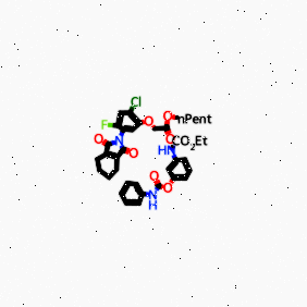 CCCCCOC(=O)COc1cc(N2C(=O)C3=C(CCCC3)C2=O)c(F)cc1Cl.CCOC(=O)Nc1cccc(OC(=O)Nc2ccccc2)c1